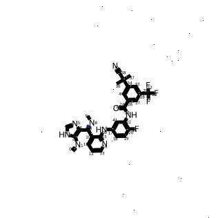 C=Nc1[nH]cnc1/C(=N\C)c1cccnc1Nc1ccc(F)c(NC(=O)c2cc(C(F)(F)F)cc(C(C)(C)C#N)c2)c1